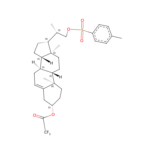 Cc1ccc(S(=O)(=O)OC[C@@H](C)[C@H]2CC[C@H]3[C@@H]4CC=C5C[C@@H](OC(=O)C(F)(F)F)CC[C@]5(C)[C@H]4CC[C@]23C)cc1